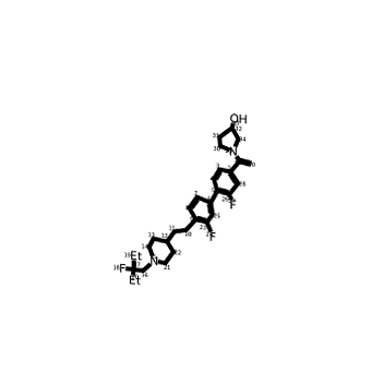 C=C(c1ccc(-c2ccc(CCC3CCN(CC(F)(CC)CC)CC3)c(F)c2)c(F)c1)N1CCC(O)C1